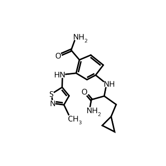 Cc1cc(Nc2cc(NC(CC3CC3)C(N)=O)ccc2C(N)=O)sn1